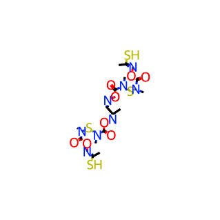 CC(/C=N\OC(=O)N(C)SN(C)C(=O)O/N=C(\C)S)=N/OC(=O)N(C)SN(C)C(=O)O/N=C(\C)S